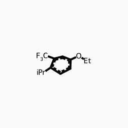 CCOc1ccc(C(C)C)c(C(F)(F)F)c1